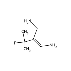 CC(C)(F)/C(=C/N)CN